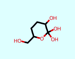 OCC1CCC(O)C(O)(O)O1